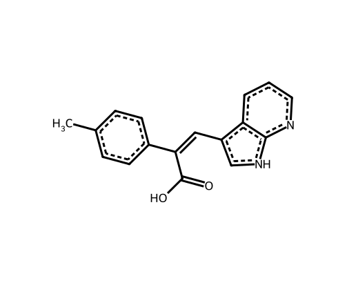 Cc1ccc(C(=Cc2c[nH]c3ncccc23)C(=O)O)cc1